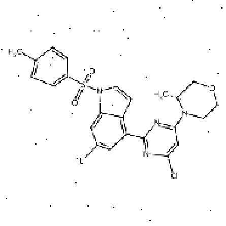 Cc1ccc(S(=O)(=O)n2ccc3c(-c4nc(Cl)cc(N5CCOC[C@H]5C)n4)cc(F)cc32)cc1